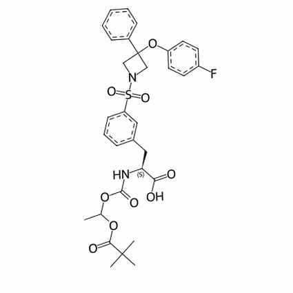 CC(OC(=O)N[C@@H](Cc1cccc(S(=O)(=O)N2CC(Oc3ccc(F)cc3)(c3ccccc3)C2)c1)C(=O)O)OC(=O)C(C)(C)C